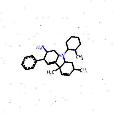 CC1C=CC(C)(C2=CC(c3ccccc3)C(N)CC2)C(NC2CCCCC2C)C1